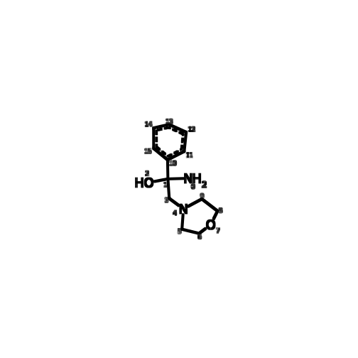 NC(O)(CN1CCOCC1)c1ccccc1